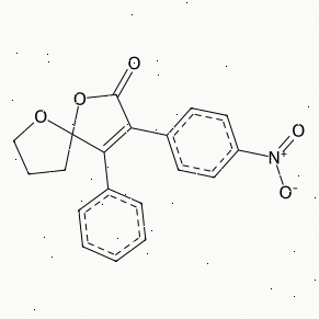 O=C1OC2(CCCO2)C(c2ccccc2)=C1c1ccc([N+](=O)[O-])cc1